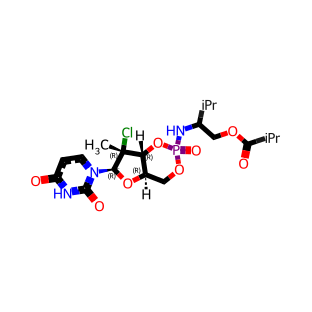 CC(C)C(=O)OCC(NP1(=O)OC[C@H]2O[C@@H](n3ccc(=O)[nH]c3=O)[C@](C)(Cl)[C@@H]2O1)C(C)C